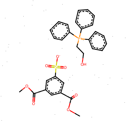 COC(=O)c1cc(C(=O)OC)cc(S(=O)(=O)[O-])c1.OCC[P+](c1ccccc1)(c1ccccc1)c1ccccc1